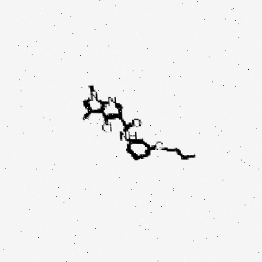 CCCCOc1cccc(NC(=O)c2cnc3c(c(C)cn3C)c2Cl)c1